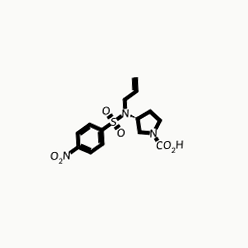 C=CCN([C@@H]1CCN(C(=O)O)C1)S(=O)(=O)c1ccc([N+](=O)[O-])cc1